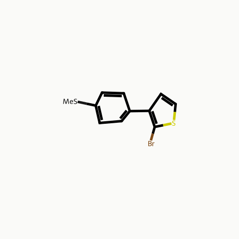 CSc1ccc(-c2ccsc2Br)cc1